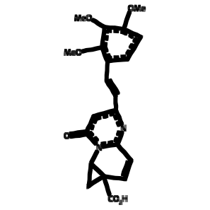 COc1ccc(/C=C/c2cc(=O)n3c(n2)C=CC2(C(=O)O)CC32)c(OC)c1OC